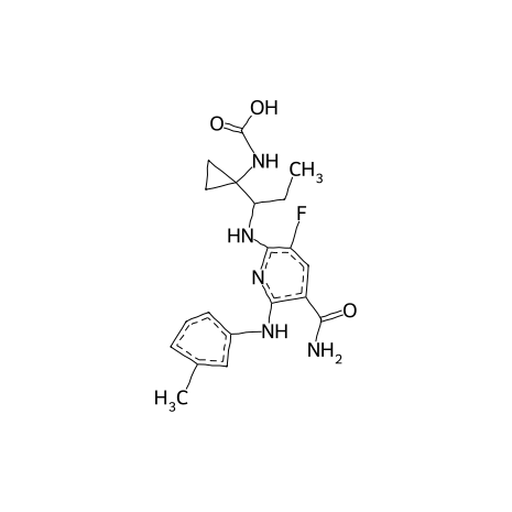 CCC(Nc1nc(Nc2cccc(C)c2)c(C(N)=O)cc1F)C1(NC(=O)O)CC1